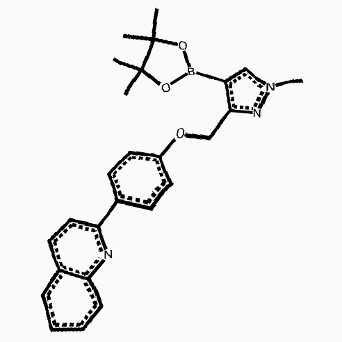 Cn1cc(B2OC(C)(C)C(C)(C)O2)c(COc2ccc(-c3ccc4ccccc4n3)cc2)n1